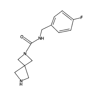 O=C(NCc1ccc(F)cc1)N1CC2(CNC2)C1